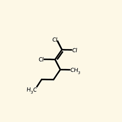 CCCC(C)C(Cl)=C(Cl)Cl